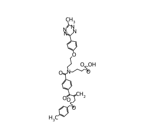 C=C(CS(=O)(=O)c1ccc(C)cc1)C(=O)c1ccc(C(=O)N(CCCOc2ccc(-c3nnc(C)nn3)cc2)CCCS(=O)(=O)O)cc1